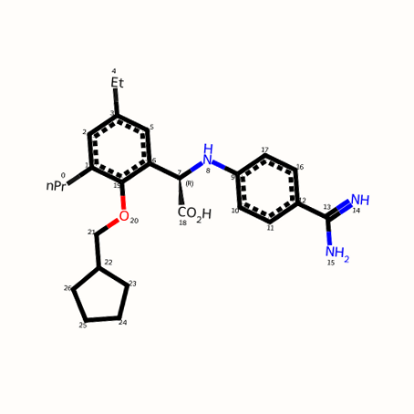 CCCc1cc(CC)cc([C@@H](Nc2ccc(C(=N)N)cc2)C(=O)O)c1OCC1CCCC1